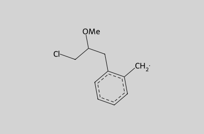 [CH2]c1ccccc1CC(CCl)OC